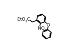 CCOC(=O)Cc1cccc(Oc2ccccc2)c1[N+](=O)[O-]